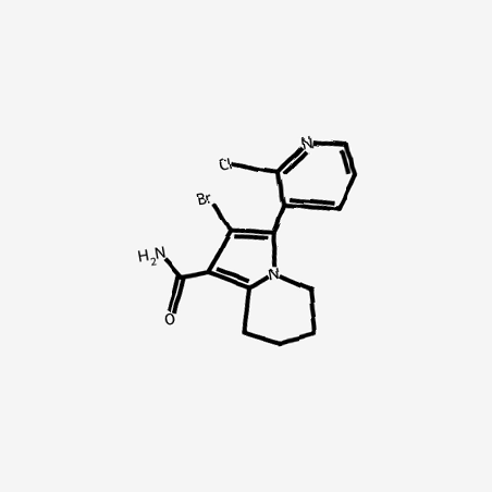 NC(=O)c1c(Br)c(-c2cccnc2Cl)n2c1CCCC2